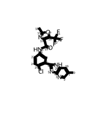 Cc1cnc2nc(-c3cc(NC(=O)c4nc(C)oc4C(F)(F)F)ccc3Cl)[nH]c2c1